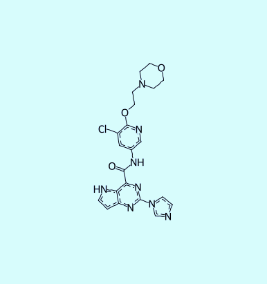 O=C(Nc1cnc(OCCN2CCOCC2)c(Cl)c1)c1nc(-n2ccnc2)nc2cc[nH]c12